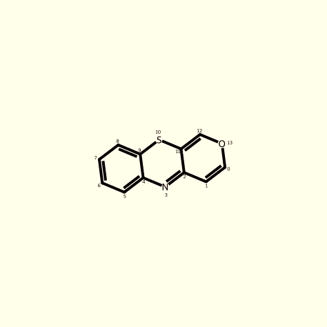 C1=CC2=Nc3ccccc3SC2=CO1